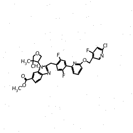 COC(=O)c1ccc2nc(Cc3cc(F)c(-c4cccc(OCc5cnc(Cl)cc5F)n4)cc3F)n(C3COCC3(C)C)c2c1